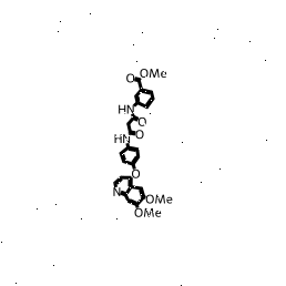 COC(=O)c1cccc(NC(=O)CC(=O)Nc2ccc(Oc3ccnc4cc(OC)c(OC)cc34)cc2)c1